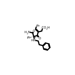 CC(C)C=C(CC(=O)O)C(=O)[C@@](NCCc1ccccc1)(C(N)=O)C(C)C